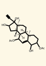 C#CC1(O)C(O)C[C@H]2[C@@H]3C(OC(C)=O)C=C4C(O)C(OC(C)=O)CC[C@]4(C)[C@@H]3CC[C@@]21C